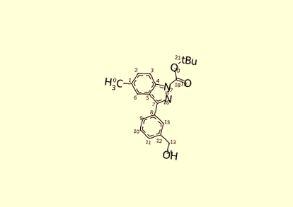 Cc1ccc2c(c1)c(-c1cccc(CO)c1)nn2C(=O)OC(C)(C)C